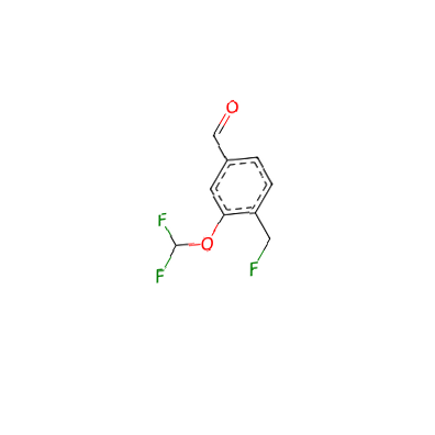 O=Cc1ccc(CF)c(OC(F)F)c1